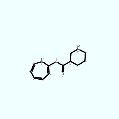 O=C(OC1=CC=CC=CN1)C1CCCNC1